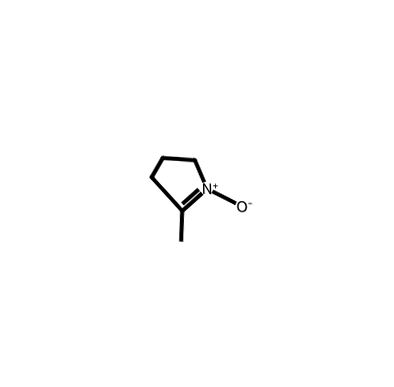 CC1=[N+]([O-])CCC1